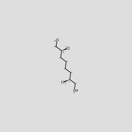 OC[C@@H](Cl)CCCC[C@H](Cl)CCl